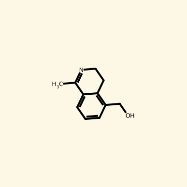 CC1=NCCc2c(CO)cccc21